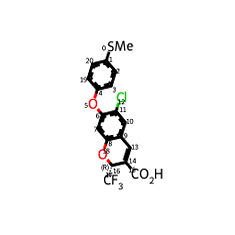 CSc1ccc(Oc2cc3c(cc2Cl)C=C(C(=O)O)[C@H](C(F)(F)F)O3)cc1